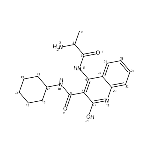 CC(N)C(=O)Nc1c(C(=O)NC2CCCCC2)c(O)nc2ccccc12